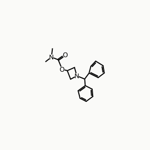 CN(C)C(=O)OC1CN(C(c2ccccc2)c2ccccc2)C1